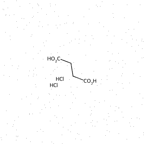 Cl.Cl.O=C(O)CCC(=O)O